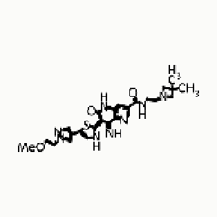 COCCn1cc(C2=CN/C(=C3\C(=N)c4ncc(C(=O)NCCN5CC(C)(C)C5)cc4NC3=O)S2)cn1